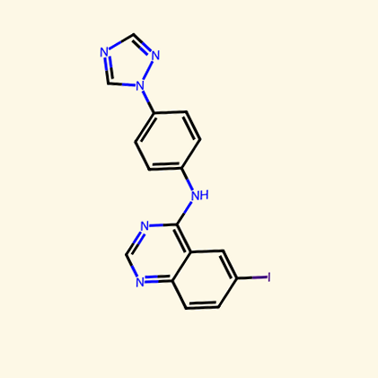 Ic1ccc2ncnc(Nc3ccc(-n4cncn4)cc3)c2c1